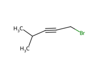 CC(C)C#CCBr